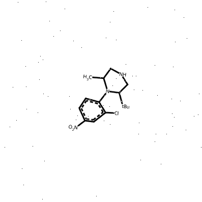 CC1CNCC(C(C)(C)C)N1c1ccc([N+](=O)[O-])cc1Cl